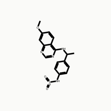 COc1ccc2c(NC(C)c3ccc(N[SH](=O)=O)cc3)ncnc2c1